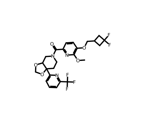 COc1nc(C(=O)N2CCC3(c4cccc(C(F)(F)F)n4)OCOC3C2)ccc1OCC1CC(F)(F)C1